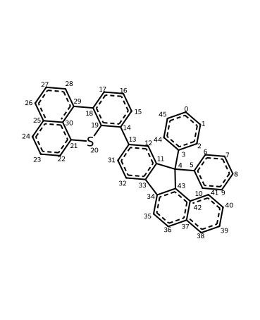 c1ccc(C2(c3ccccc3)c3cc(-c4cccc5c4Sc4cccc6cccc-5c46)ccc3-c3ccc4ccccc4c32)cc1